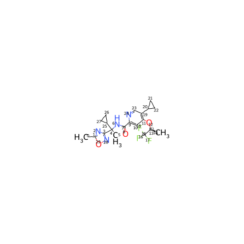 Cc1nc(C(C)(NC(=O)c2cc(O[C@@H](C)C(F)(F)F)c(C3CC3)cn2)C2CC2)no1